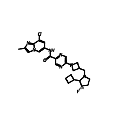 Cc1cn2cc(NC(=O)c3cnc(N4CC(CN5CC[C@H](F)C5C5CCC5)C4)cn3)cc(Cl)c2n1